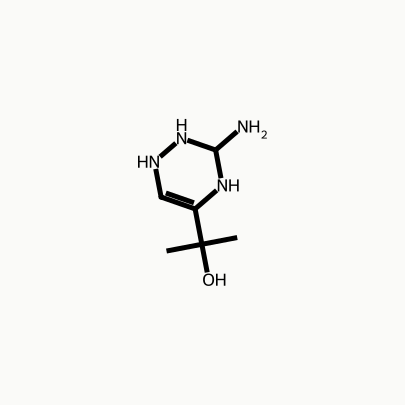 CC(C)(O)C1=CNNC(N)N1